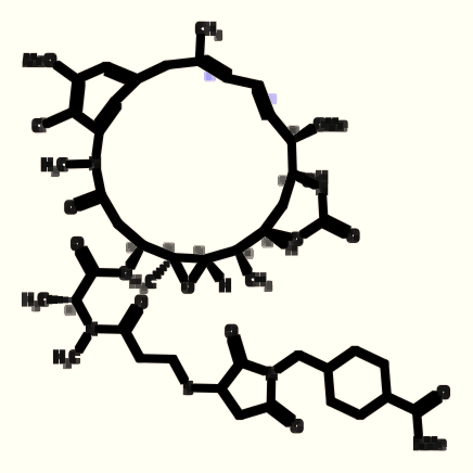 CNC(=O)C1CCC(CN2C(=O)CC(SCCC(=O)N(C)[C@H](C)C(=O)O[C@H]3CC(=O)N(C)c4cc(cc(OC)c4Cl)C/C(C)=C/C=C/[C@@H](OC)[C@@]4(O)C[C@H](OC(=O)N4)[C@@H](C)[C@@H]4O[C@@]34C)C2=O)CC1